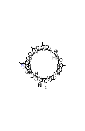 C/C=C/C[C@@H](C)[C@@H](O)[C@H]1C(=O)N[C@@H](CC)C(=O)N(C)[C@H](CCN)C(=O)N(C)[C@@H](C(C)C)C(=O)N[C@@H](C(C)C)C(=O)N(C)[C@@H](CC(C)C)C(=O)N[C@@H](C)C(=O)N[C@H](C)C(=O)N(C)[C@@H](CC(C)C)C(=O)N(C)[C@@H](CC(C)C)C(=O)N(C)[C@@H](C(C)C)C(=O)N1C